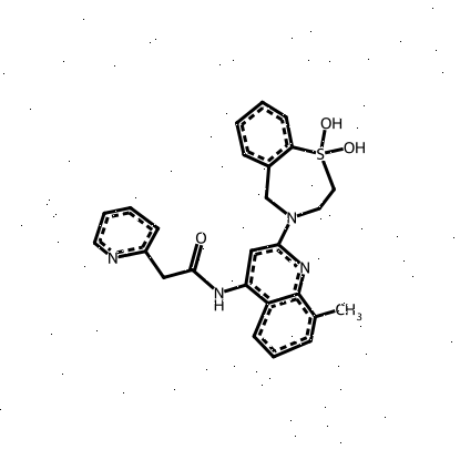 Cc1cccc2c(NC(=O)Cc3ccccn3)cc(N3CCS(O)(O)c4ccccc4C3)nc12